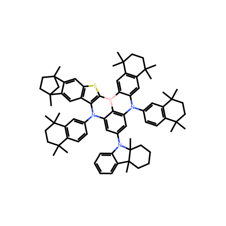 CC1(C)CCC(C)(C)c2cc(N3c4cc5c(cc4B4c6sc7cc8c(cc7c6N(c6ccc7c(c6)C(C)(C)CCC7(C)C)c6cc(N7c9ccccc9C9(C)CCCCC79C)cc3c64)C3(C)CCC8(C)C3)C(C)(C)CCC5(C)C)ccc21